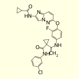 C=C(Nc1ccc(Oc2ccc3nc(NC(=O)C4CC4)cn3n2)c(F)c1)C1(C(=O)Nc2cccc(Cl)c2)CC1